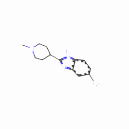 CN1CCC(c2nc3cc([N+](=O)[O-])ccc3[nH]2)CC1